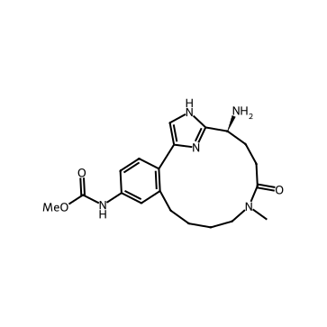 COC(=O)Nc1ccc2c(c1)CCCCN(C)C(=O)CC[C@H](N)c1nc-2c[nH]1